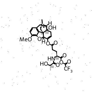 COc1ccc2c3c1O[C@H]1C(OC(=O)CC[C@H](NC(=O)[C@H](C)O)C(=O)OC(=O)C(F)(F)F)=CC[C@@]4(O)[C@@H](C2)N(C)CC[C@]314